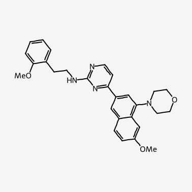 COc1ccc2cc(-c3ccnc(NCCc4ccccc4OC)n3)cc(N3CCOCC3)c2c1